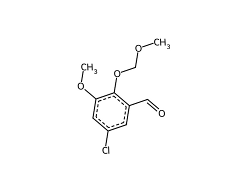 COCOc1c(C=O)cc(Cl)cc1OC